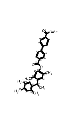 COC(=O)c1ccc(-c2ccc(C(=O)Oc3cc(C)c(C(C)c4cc(C)c(C)cc4C)cc3C)cc2)cc1